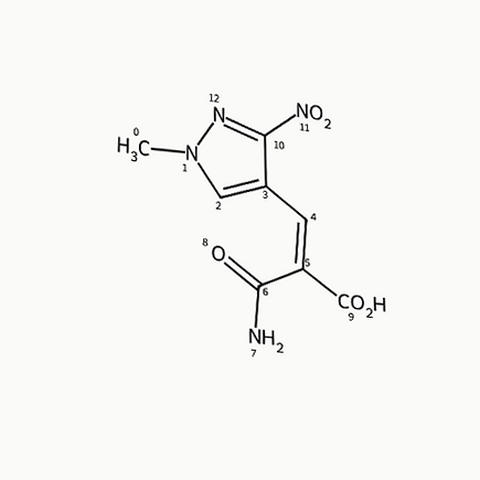 Cn1cc(C=C(C(N)=O)C(=O)O)c([N+](=O)[O-])n1